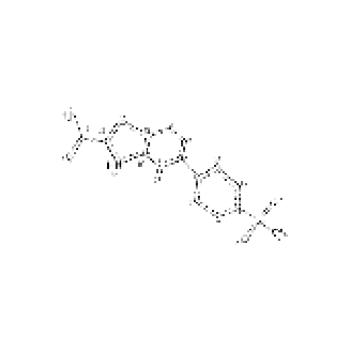 CS(=O)(=O)c1ccc(-c2ccc3cc(C(N)=O)[nH]c3n2)cc1